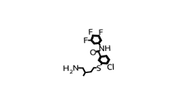 CC(CN)CCSc1cc(C(=O)Nc2cc(F)c(F)c(F)c2)ccc1Cl